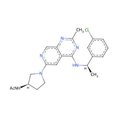 CC(=O)N[C@@H]1CCN(c2cc3c(N[C@H](C)c4cccc(Cl)c4)nc(C)nc3cn2)C1